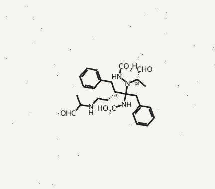 CC(C=O)NCC[C@H](Cc1ccccc1)C(Cc1ccccc1)(NC(=O)O)N(NC(=O)O)[C@@H](C)C=O